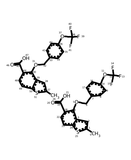 Cc1cc2c(OCc3ccc(OC(F)(F)F)cc3)c(C(=O)O)ccc2s1.Cc1cc2c(OCc3ccc(OC(F)(F)F)cc3)c(C(=O)O)ccc2s1